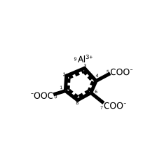 O=C([O-])c1ccc(C(=O)[O-])c(C(=O)[O-])c1.[Al+3]